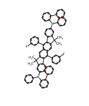 CC1(C)c2cc(N(c3ccccc3)c3ccccc3-c3ccccc3)ccc2-c2c1cc1c(-c3cccc(F)c3)c3c(cc1c2-c1cccc(F)c1)C(C)(C)c1cc(N(c2ccccc2)c2ccccc2-c2ccccc2)ccc1-3